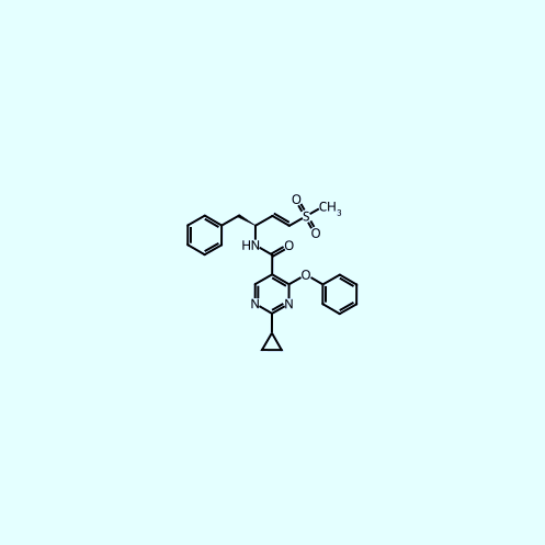 CS(=O)(=O)/C=C/[C@H](Cc1ccccc1)NC(=O)c1cnc(C2CC2)nc1Oc1ccccc1